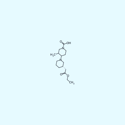 CCOC(=O)C[C@@H]1CCCN(C2CCN(C(=O)O)CC2C)C1